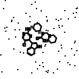 O=C(O)N(CN1CCCCC1)[C@H]1CCC[C@@H](Nc2ncc(Cl)c(-c3c[nH]c4ccccc34)n2)C1